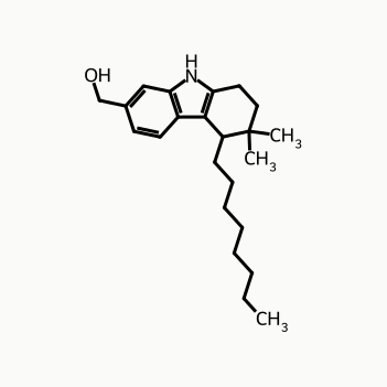 CCCCCCCCC1c2c([nH]c3cc(CO)ccc23)CCC1(C)C